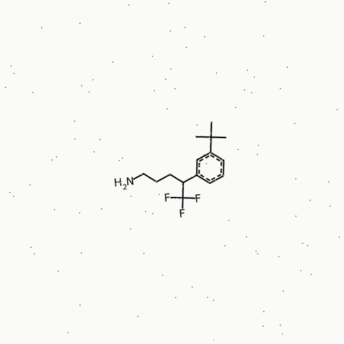 CC(C)(C)c1cccc(C(CCCN)C(F)(F)F)c1